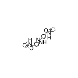 CC1(C)C2=C(NC(=O)c3ccc(-c4nc5cc(C(=O)NC6CC7CCC6(C)C7(C)C)ccc5[nH]4)cc3)CC1CC2